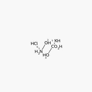 Cl.NO.O=C(O)O.[KH]